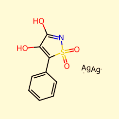 O=S1(=O)N=C(O)C(O)=C1c1ccccc1.[Ag].[Ag]